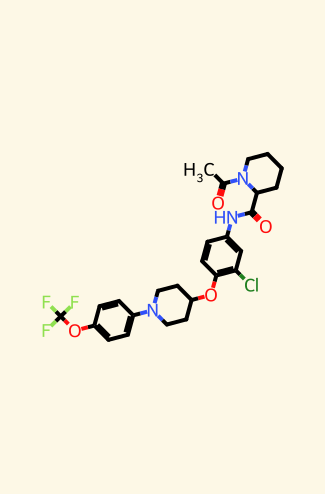 CC(=O)N1CCCCC1C(=O)Nc1ccc(OC2CCN(c3ccc(OC(F)(F)F)cc3)CC2)c(Cl)c1